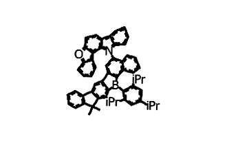 CC(C)c1cc(C(C)C)c(B2c3cc4c(cc3-c3cc(-n5c6ccccc6c6ccc7oc8ccccc8c7c65)c5ccccc5c32)-c2ccccc2C4(C)C)c(C(C)C)c1